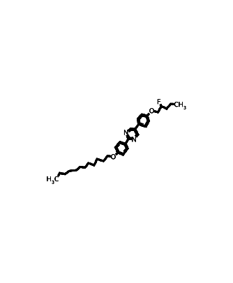 CCCCCCCCCCCCOc1ccc(-c2ncc(-c3ccc(OCC(F)CCC)cc3)cn2)cc1